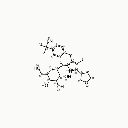 Cc1c(Cc2ccc(C(C)(C)C#N)cc2)c(O[C@@H]2O[C@H](CO)[C@@H](O)[C@H](O)[C@H]2O)nn1C1CCOC1